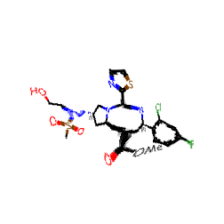 COC(=O)C1=C2C[C@H](N(CCO)S(C)(=O)=O)CN2C(c2nccs2)=N[C@H]1c1ccc(F)cc1Cl